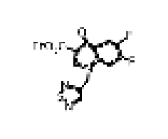 CCOC(=O)c1cn(Cc2cnsn2)c2cc(F)c(F)cc2c1=O